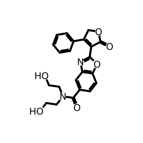 O=C1OCC(c2ccccc2)=C1c1nc2cc(C(=O)N(CCO)CCO)ccc2o1